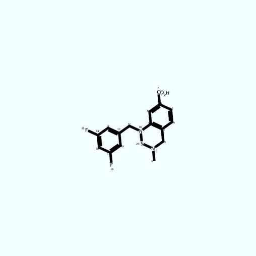 CN1Cc2ccc(C(=O)O)cc2N(Cc2cc(F)cc(F)c2)S1